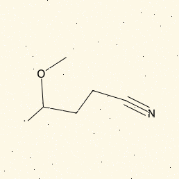 [CH2]C(CCC#N)OC